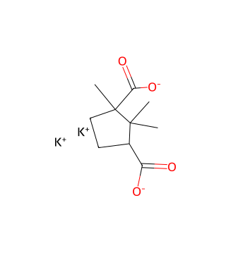 CC1(C(=O)[O-])CCC(C(=O)[O-])C1(C)C.[K+].[K+]